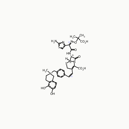 CC(C)(O/N=C(\C(=O)N[C@@H]1C(=O)N2C(C(=O)O)=C(/C=C\c3ccc(C[N+]4(C)CCc5c(ccc(O)c5O)C4)cc3)CS[C@H]12)c1csc(N)n1)C(=O)O